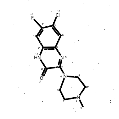 CN1CCN(c2nc3cc(Cl)c(F)cc3[nH]c2=O)CC1